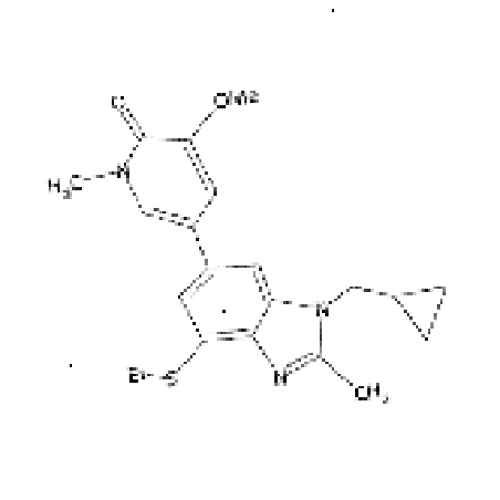 CCSc1cc(-c2cc(OC)c(=O)n(C)c2)cc2c1nc(C)n2CC1CC1